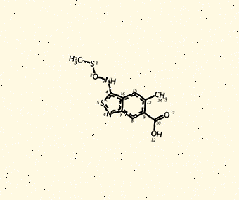 CSONc1snc2cc(C(=O)O)c(C)cc12